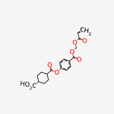 C=CC(=O)OCOC(=O)c1ccc(OC(=O)C2CCC(C(=O)O)CC2)cc1